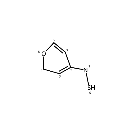 S[N]C1=CCOC=C1